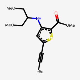 COCC(COC)Nc1cc(C#CC(C)(C)C)sc1C(=O)OC